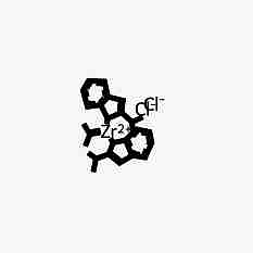 C[C](C)=[Zr+2]([CH]1C(C(C)C)=Cc2ccccc21)[CH]1C(C(C)C)=Cc2ccccc21.[Cl-].[Cl-]